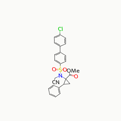 COC(=O)C1(N(CC#N)S(=O)(=O)c2ccc(-c3ccc(Cl)cc3)cc2)CC1c1ccccc1